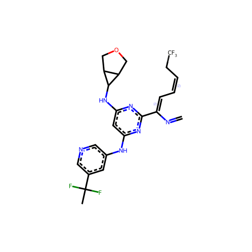 C=N/C(=C\C=C/CC(F)(F)F)c1nc(Nc2cncc(C(C)(F)F)c2)cc(NC2C3COCC32)n1